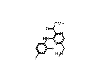 COC(=O)c1ncc(CN)nc1Nc1ccc(I)cc1F